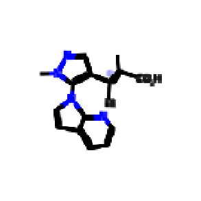 CC/C(=C(/C)C(=O)O)c1cnn(C)c1-n1ccc2cccnc21